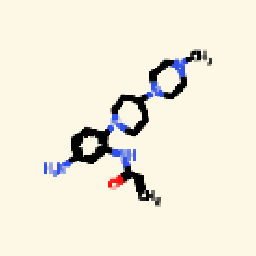 C=CC(=O)Nc1cc(N)ccc1N1CCC(N2CCN(C)CC2)CC1